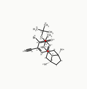 Cc1nc(N2[C@@H]3CC[C@H]2CC(NC(=O)OC(C)(C)C)C3)nc(C#N)c1Br